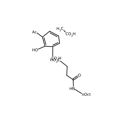 CC(=O)O.CC(=O)c1cccc(C(=O)O)c1O.CCCCCCCCNC(=O)CCC(=O)O